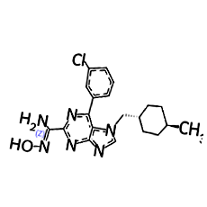 C[C@H]1CC[C@H](Cn2cnc3nc(/C(N)=N/O)nc(-c4cccc(Cl)c4)c32)CC1